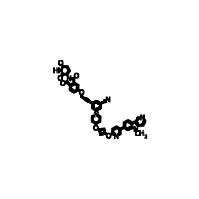 Cn1c2ccncc2c2ccc(-c3ccc(OC4CC(OC5CCN(c6cc(C#N)cc(C#CCOc7ccc8c(c7)C(=O)N(C7CCC(=O)NC7=O)C8=O)c6)CC5)C4)nc3)cc21